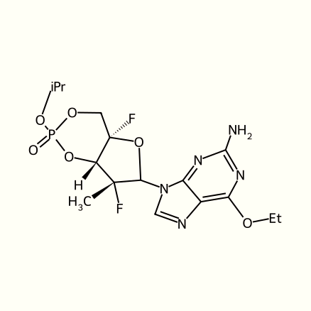 CCOc1nc(N)nc2c1ncn2C1O[C@]2(F)COP(=O)(OC(C)C)O[C@H]2[C@@]1(C)F